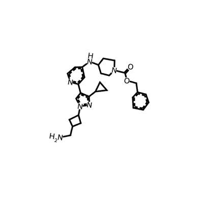 NCC1CC(n2cc(-c3cc(NC4CCN(C(=O)OCc5ccccc5)CC4)ccn3)c(C3CC3)n2)C1